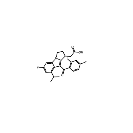 CC(C)c1cc(F)cc2c1c(C(=O)c1ccc(Cl)cc1I)c1n2CCC1CC(=O)O